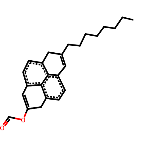 CCCCCCCCC1=Cc2ccc3c4c(ccc(c24)C1)C=C(OC=O)C3